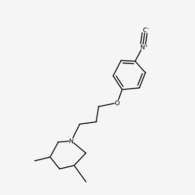 [C-]#[N+]c1ccc(OCCCN2CC(C)CC(C)C2)cc1